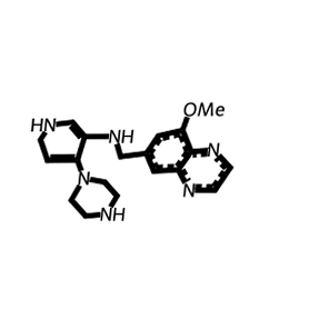 COc1cc(CNC2=CNCC=C2N2CCNCC2)cc2nccnc12